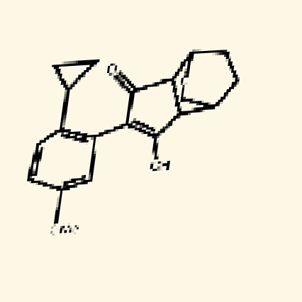 COc1ccc(C2CC2)c(C2=C(O)C3C4CCC(CC4)C3C2=O)c1